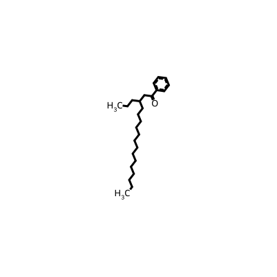 CCCCCCCCCCCCCCC(CCC)CC(=O)c1ccccc1